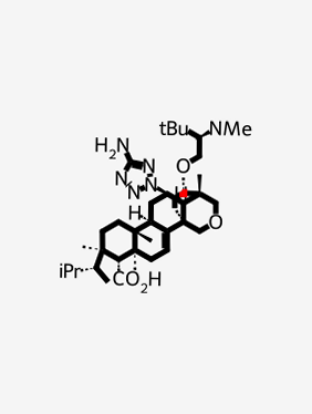 CN[C@@H](CO[C@H]1[C@H](n2nnc(N)n2)C[C@@]23COC[C@]1(C)[C@@H]2CC[C@H]1C3=CC[C@@]2(C)[C@H](C(=O)O)[C@@](C)([C@H](C)C(C)C)CC[C@]12C)C(C)(C)C